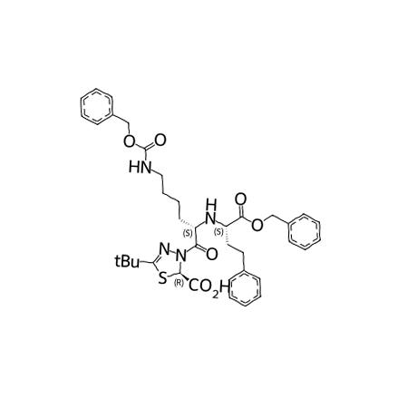 CC(C)(C)C1=NN(C(=O)[C@H](CCCCNC(=O)OCc2ccccc2)N[C@@H](CCc2ccccc2)C(=O)OCc2ccccc2)[C@@H](C(=O)O)S1